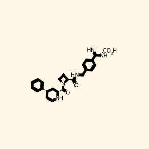 N=C(NC(=O)O)c1ccc(CNC(=O)[C@@H]2CCN2C(=O)[C@H]2C[C@@H](c3ccccc3)CCN2)cc1